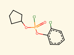 O=P(Cl)(Oc1ccccc1Cl)OC1CCCC1